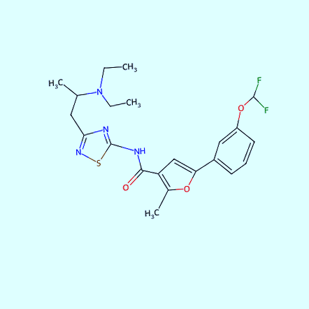 CCN(CC)C(C)Cc1nsc(NC(=O)c2cc(-c3cccc(OC(F)F)c3)oc2C)n1